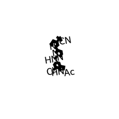 CC(=O)c1cc2cc(Nc3nccc(-c4cc(C(C)(C)C#N)ccn4)n3)cc(Cl)c2[nH]1